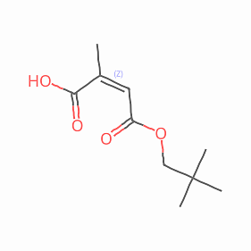 C/C(=C/C(=O)OCC(C)(C)C)C(=O)O